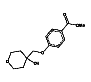 COC(=O)c1ccc(OCC2(O)CCOCC2)cc1